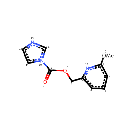 COc1cccc(COC(=O)n2ccnc2)n1